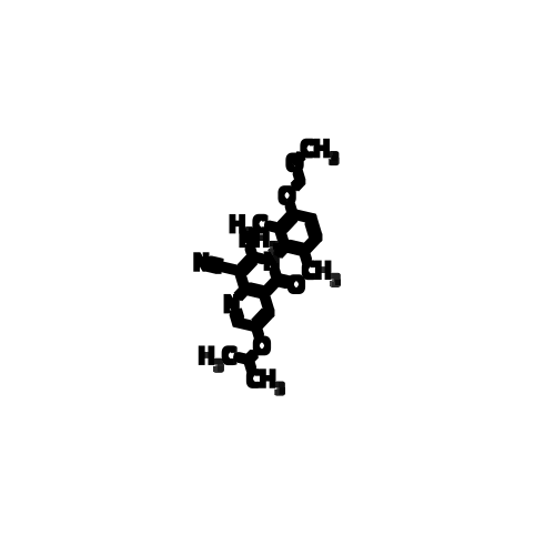 COCOc1ccc(C)c(-n2c(N)c(C#N)c3ncc(OC(C)C)cc3c2=O)c1C